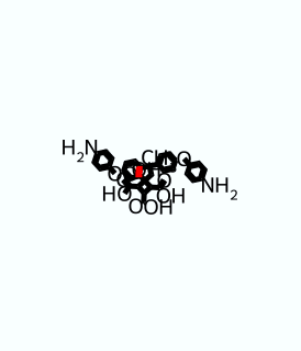 CC(CC1(C(=O)O)C(C(=O)O)C(C(=O)O)C1C(=O)O)(c1ccc(Oc2ccc(N)cc2)cc1)c1ccc(Oc2ccc(N)cc2)cc1